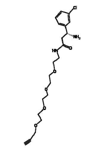 C#CCOCCOCCOCCOCCNC(=O)C[C@@H](N)c1cccc(Cl)c1